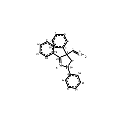 C=CC1(c2ccccc2)CN(c2ccccc2)N=C1c1ccccc1